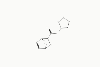 O=C(OC1CCCC1)C1CC2C=CC1O2